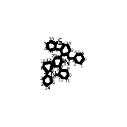 c1ccc(-c2nc3c(-c4ccccc4-n4c5ccccc5c5ccccc54)cccc3c3c2ccc2sc4ccccc4c23)cc1